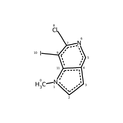 Cn1ccc2cnc(Cl)c(I)c21